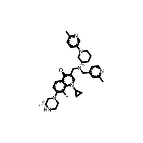 Cc1ccc(N2CCC[C@H](N(Cc3ccnc(C)c3)Cc3cn(C4CC4)c4c(F)c(N5CCN[C@H](C)C5)ccc4c3=O)C2)cn1